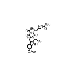 COc1ccc2c3c([nH]c2c1)[C@H](CC(C)C)N1C(=O)[C@H](CCCCNC(=O)C(C)(C)C)N(C(=O)C(C)(C)C)C(=O)[C@@H]1C3